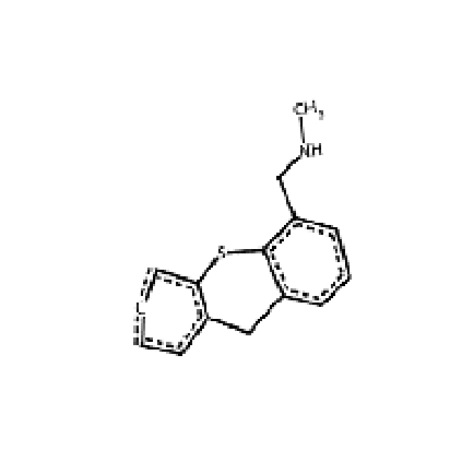 CNCc1cccc2c1Sc1ccccc1C2